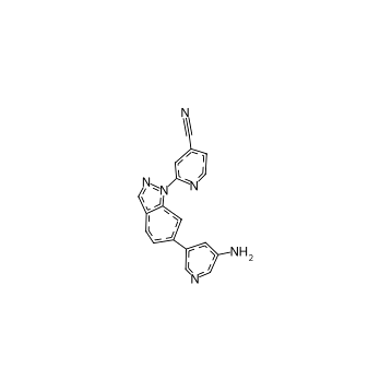 N#Cc1ccnc(-n2ncc3ccc(-c4cncc(N)c4)cc32)c1